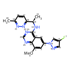 COc1cc(-n2cc(F)cn2)cc2c(N[C@H](C)c3ccc(C)nn3)ncnc12